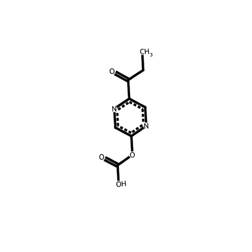 CCC(=O)c1cnc(OC(=O)O)cn1